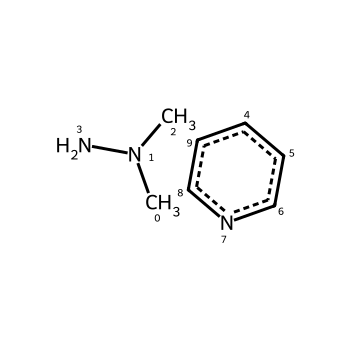 CN(C)N.c1ccncc1